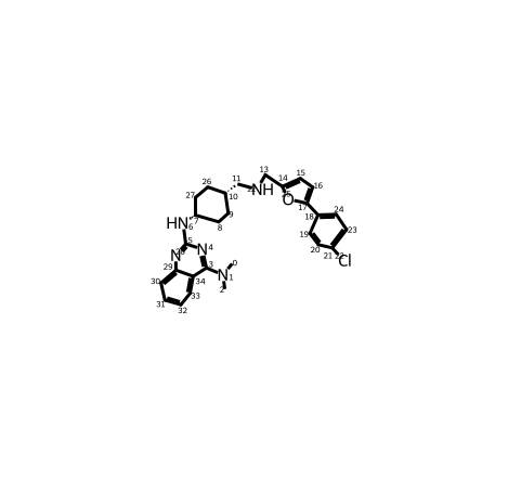 CN(C)c1nc(N[C@H]2CC[C@@H](CNCc3ccc(-c4ccc(Cl)cc4)o3)CC2)nc2ccccc12